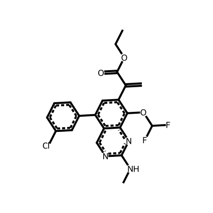 C=C(C(=O)OCC)c1cc(-c2cccc(Cl)c2)c2cnc(NC)nc2c1OC(F)F